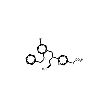 C=CCN(Cc1cc(Br)ccc1OCc1ccccc1)c1ccc(OC(=O)O)cn1